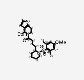 CCC1c2ccsc2CCN1C(=O)CCCC1CCCCN1S(=O)(=O)c1c(C)cc(OC)cc1C